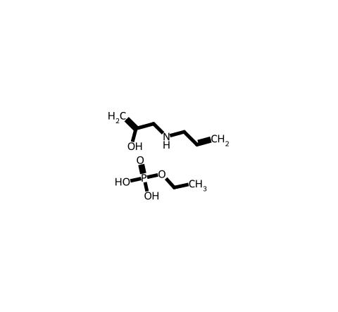 C=CCNCC(=C)O.CCOP(=O)(O)O